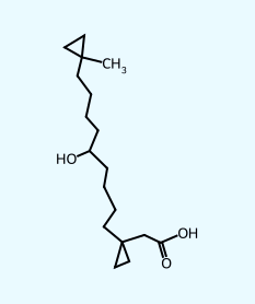 CC1(CCCCC(O)CCCCC2(CC(=O)O)CC2)CC1